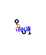 O=C(NNc1cccc(-c2nncn2C2CC2)n1)OCc1ccccc1